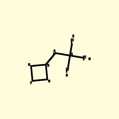 FC(F)(F)[CH]C1CCC1